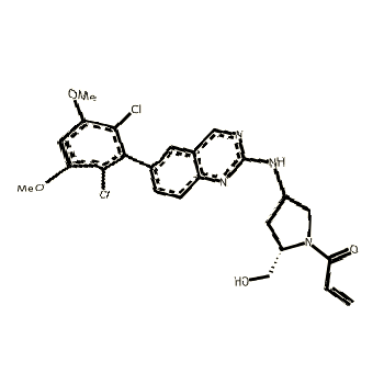 C=CC(=O)N1CC(Nc2ncc3cc(-c4c(Cl)c(OC)cc(OC)c4Cl)ccc3n2)C[C@H]1CO